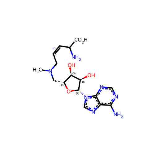 CN(C/C=C\C(N)C(=O)O)C[C@H]1O[C@@H](n2cnc3c(N)ncnc32)[C@H](O)[C@@H]1O